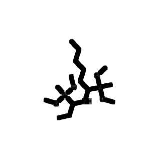 CCCCCC(NC(CC)[Si](C)(OC)OC)[Si](C)(OC)OC